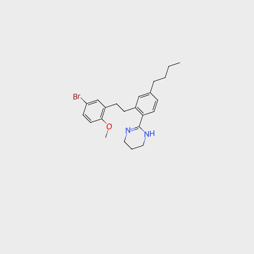 CCCCc1ccc(C2=NCCCN2)c(CCc2cc(Br)ccc2OC)c1